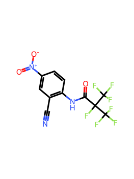 N#Cc1cc([N+](=O)[O-])ccc1NC(=O)C(F)(C(F)(F)F)C(F)(F)F